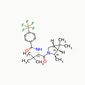 C[C@@H]1[C@@H]2[C@H](CN1C(=O)[C@@H](NC(=O)c1ccc(S(F)(F)(F)(F)F)cc1)C(C)(C)C)C2(C)C